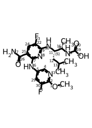 COc1ncc(Nc2nc(N[C@@H](CC(C)C)[C@H](C)NC(=O)O)c(F)cc2C(N)=O)cc1F